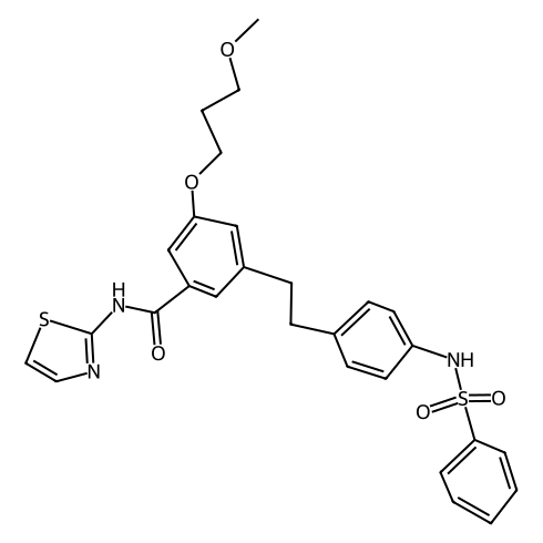 COCCCOc1cc(CCc2ccc(NS(=O)(=O)c3ccccc3)cc2)cc(C(=O)Nc2nccs2)c1